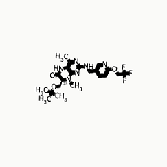 Cc1nc(NCc2ccc(OCC(F)(F)F)nc2)nc2c1NC(=O)[C@H](COC(C)(C)C)N2C